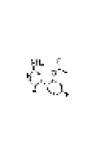 Nc1cc(-c2ccc(F)cc2OC(F)F)c(F)cn1